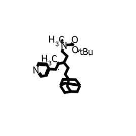 CC([CH]c1ccncc1)C(CCN(C)C(=O)OC(C)(C)C)CCC12CC3CC(CC(C3)C1)C2